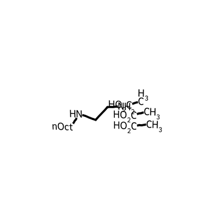 CC(=O)O.CC(=O)O.CC(=O)O.CCCCCCCCNCCN